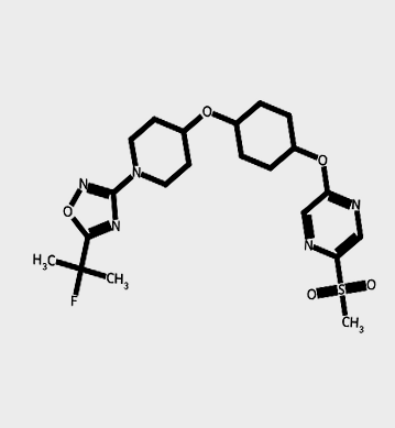 CC(C)(F)c1nc(N2CCC(OC3CCC(Oc4cnc(S(C)(=O)=O)cn4)CC3)CC2)no1